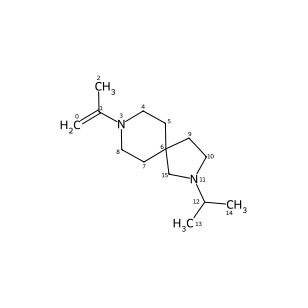 C=C(C)N1CCC2(CC1)CCN(C(C)C)C2